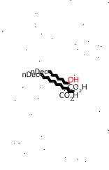 CCCCCCCCCCCCCCCCC(O)C(=O)O.CCCCCCCCCCCCCCCCCCCCCC(=O)O